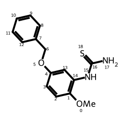 COc1ccc(OCc2ccccc2)cc1NC(N)=S